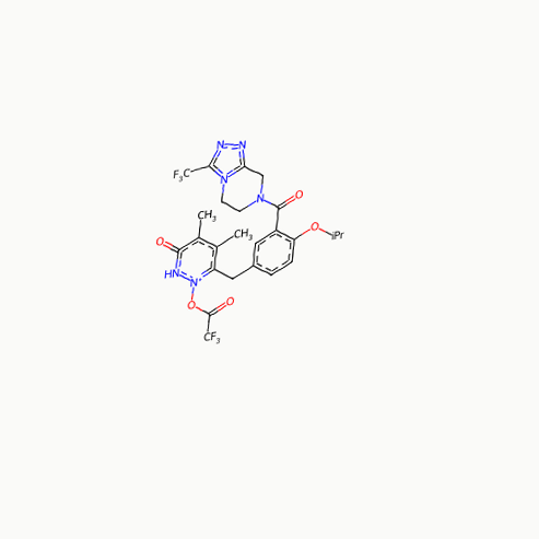 Cc1c(C)c(=O)[nH][n+](OC(=O)C(F)(F)F)c1Cc1ccc(OC(C)C)c(C(=O)N2CCn3c(nnc3C(F)(F)F)C2)c1